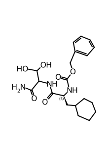 NC(=O)C(NC(=O)[C@H](CC1CCCCC1)NC(=O)OCc1ccccc1)C(O)O